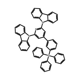 c1ccc([Si](c2ccccc2)(c2ccccc2)c2cccc(-c3cc(-n4c5ccccc5c5ccccc54)nc(-n4c5ccccc5c5ccccc54)c3)c2)cc1